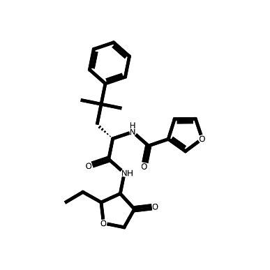 CCC1OCC(=O)C1NC(=O)[C@H](CC(C)(C)c1ccccc1)NC(=O)c1ccoc1